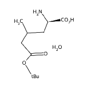 CC(CC(=O)OC(C)(C)C)C[C@@H](N)C(=O)O.O